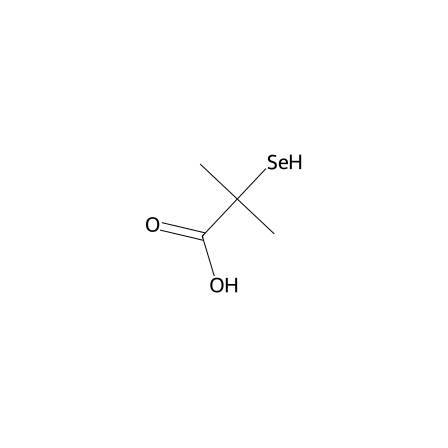 CC(C)([SeH])C(=O)O